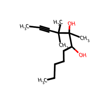 CC#CC(C)(C)C(C)(O)C(O)CCCCC